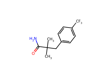 CC(C)(Cc1ccc(C(F)(F)F)cc1)C(N)=O